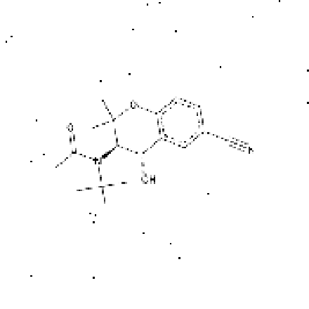 CC(=O)N([C@@H]1[C@@H](O)c2cc(C#N)ccc2OC1(C)C)C(C)(C)C